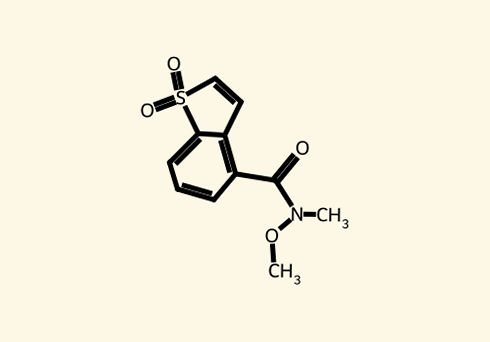 CON(C)C(=O)c1cccc2c1C=CS2(=O)=O